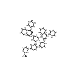 N#Cc1cccc(-c2ccc(-c3cccc(-c4nc(-c5ccccc5)c5ccccc5n4)c3)c(-c3cccc(-c4nc(-c5ccccc5)c5ccccc5n4)c3)c2)c1